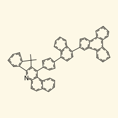 CC1(C)c2ccccc2-c2nc3ccc4ccccc4c3c(-c3ccc(-c4ccc(-c5ccc6c7ccccc7c7ccccc7c6c5)c5ccccc45)cc3)c21